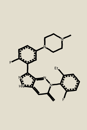 C=C1C=c2[nH]nc(-c3cc(N4CCN(C)CC4)ccc3F)c2=NN1c1c(F)cccc1CC